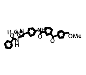 COCc1ccc(C(=O)c2cccc(C(=O)Nc3ccc(-c4cc(NC(=O)c5ccccc5)n(C)n4)cc3)c2)cc1